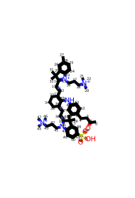 CC(=O)CCc1ccc(NC2=C(/C=C/C3=[N+](CCC[N+](C)(C)C)c4ccc(C)cc4C3(C)C)CCC/C2=C\C=C2\N(CCC[N+](C)(C)C)c3ccc(S(=O)(=O)O)cc3C2(C)C)cc1